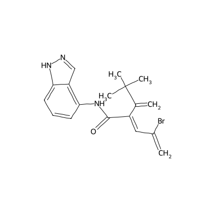 C=C(Br)/C=C(\C(=C)C(C)(C)C)C(=O)Nc1cccc2[nH]ncc12